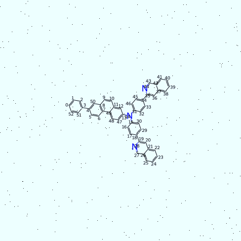 c1ccc(-c2ccc3c(ccc4cc(N(c5ccc(-c6cc7ccccc7cn6)cc5)c5ccc(-c6cc7ccccc7cn6)cc5)ccc43)c2)cc1